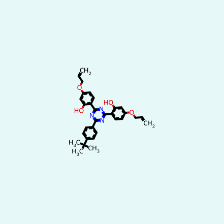 C=CCOc1ccc(-c2nc(-c3ccc(C(C)(C)C)cc3)nc(-c3ccc(OCC=C)cc3O)n2)c(O)c1